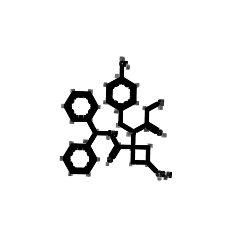 O=C(O)C1CC(C(=O)NC(c2ccccc2)c2ccccc2)(N(Cc2ccc(C(F)(F)F)cc2)C(=O)CCl)C1